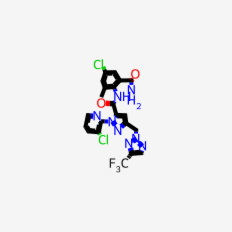 Cc1cc(Cl)cc(C(N)=O)c1NC(=O)c1cc(Cn2ncc(C(F)(F)F)n2)nn1-c1ncccc1Cl